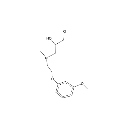 COc1cccc(OCCN(C)CC(O)CCl)c1